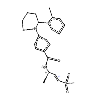 Cc1ccccc1C1CCCCN1c1ccc(C(=O)N[C@H](C)/C=C/S(C)(=O)=O)cc1